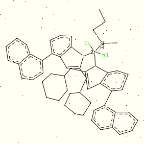 CCC[SiH](C)[Zr]([Cl])([Cl])([CH]1C(CC2CCCCC2)=Cc2c(-c3cccc4ccccc34)cccc21)[CH]1C(CC2CCCCC2)=Cc2c(-c3cccc4ccccc34)cccc21